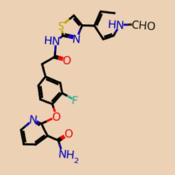 C/C=C(\C=C/NC=O)c1csc(NC(=O)Cc2ccc(Oc3ncccc3C(N)=O)c(F)c2)n1